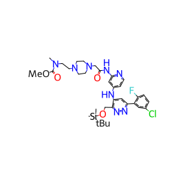 COC(=O)N(C)CCN1CCN(CC(=O)Nc2cc(Nc3cc(-c4cc(Cl)ccc4F)nnc3CO[Si](C)(C)C(C)(C)C)ccn2)CC1